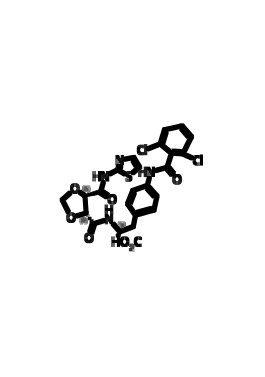 O=C(Nc1ccc(C[C@H](NC(=O)[C@@H]2OCO[C@H]2C(=O)Nc2nccs2)C(=O)O)cc1)c1c(Cl)cccc1Cl